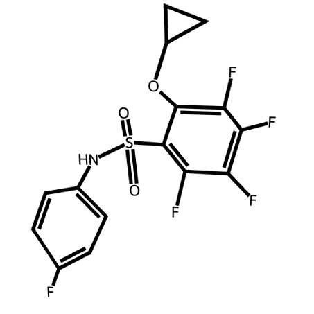 O=S(=O)(Nc1ccc(F)cc1)c1c(F)c(F)c(F)c(F)c1OC1CC1